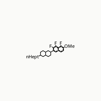 CCCCCCCC1CCC2CC(c3cc4ccc(OC)c(F)c4c(F)c3F)CCC2C1